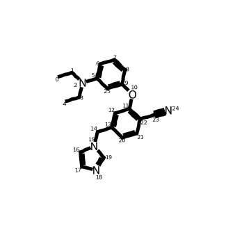 CCN(CC)c1cccc(Oc2cc(Cn3ccnc3)ccc2C#N)c1